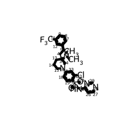 CN(C)[C@@]1(CCc2cccc(C(F)(F)F)c2)CCCN(c2ccc(S(=O)(=O)Nc3ccncn3)c(Cl)c2)C1